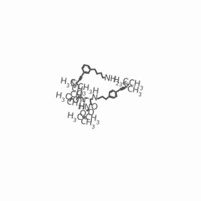 CC(C)(C)OC(=O)NC[C@H](NCCCc1ccc(C#C[Si](C)(C)C)cc1)C(=O)NC(=O)OC(C)(C)C.C[Si](C)(C)C#Cc1cccc(CCCCN)c1